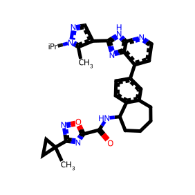 Cc1c(-c2nc3c(-c4ccc5c(c4)CCCCC5NC(=O)c4nc(C5(C)CC5)no4)ccnc3[nH]2)cnn1C(C)C